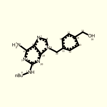 CCCCNc1nc(N)c2ncn(Cc3ccc(CO)cc3)c2n1